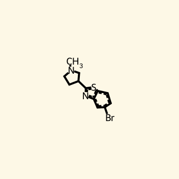 CN1CCC(c2nc3cc(Br)ccc3s2)C1